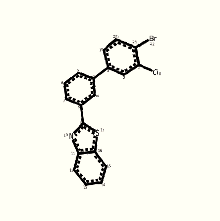 Clc1cc(-c2cccc(-c3nc4ccccc4s3)c2)ccc1Br